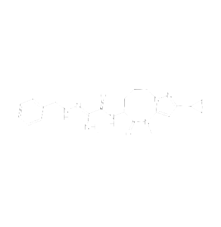 CN1C(=O)C(NC(=O)/C(N)=N/NCc2ccccc2)CCCn2nc(C3CC3)cc21